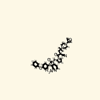 CC(C)(CC(C#N)C(=O)N1CCC[C@H]1Cn1c(=O)n(-c2ccc(Oc3ccccc3)cc2)c2c(N)nccc21)N1CCN(C2COC2)CC1